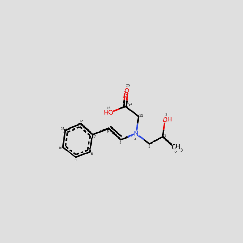 CC(O)CN(C=Cc1ccccc1)CC(=O)O